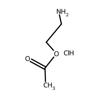 CC(=O)OCCN.Cl